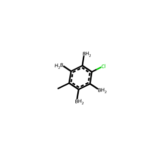 Bc1c(B)c(Cl)c(B)c(B)c1C